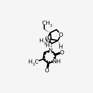 CC[C@@]12CO[C@@H]([C@H](n3cc(C)c(=O)[nH]c3=O)O1)[C@@H]2C